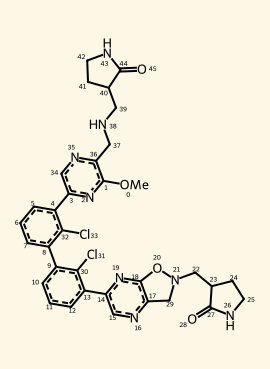 COc1nc(-c2cccc(-c3cccc(-c4cnc5c(n4)ON(CC4CCNC4=O)C5)c3Cl)c2Cl)cnc1CNCC1CCNC1=O